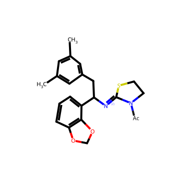 CC(=O)N1CCS/C1=N\C(Cc1cc(C)cc(C)c1)c1cccc2c1OCO2